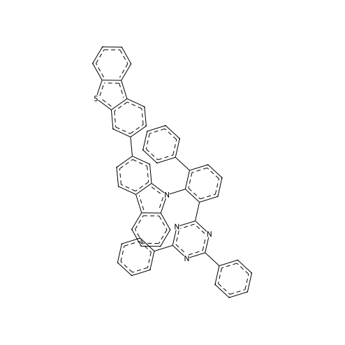 c1ccc(-c2nc(-c3ccccc3)nc(-c3cccc(-c4ccccc4)c3-n3c4ccccc4c4ccc(-c5ccc6c(c5)sc5ccccc56)cc43)n2)cc1